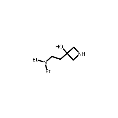 CCN(CC)CCC1(O)CNC1